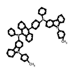 Cc1ccc(-n2c3ccccc3c3cc(N(c4ccccc4)c4ccc(-c5c6ccccc6c(N(c6ccccc6)c6ccc7c(c6)c6ccccc6n7-c6ccc(C)cc6)c6ccccc56)cc4)ccc32)cc1